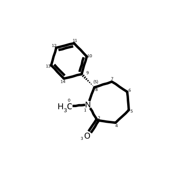 CN1C(=O)CCCC[C@H]1c1ccccc1